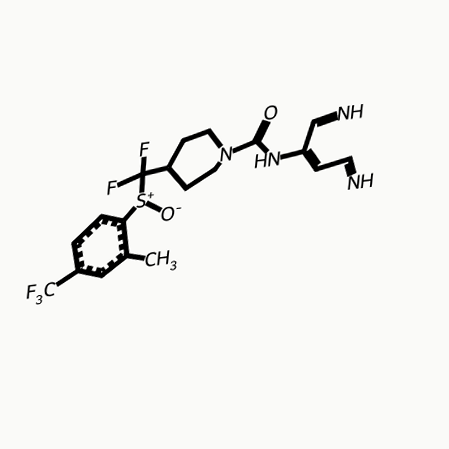 Cc1cc(C(F)(F)F)ccc1[S+]([O-])C(F)(F)C1CCN(C(=O)N/C(C=N)=C/C=N)CC1